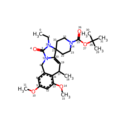 CCN1C(=O)N2Cc3cc(OC)cc(OC)c3C(C)C=C2C12CCN(C(=O)OC(C)(C)C)CC2